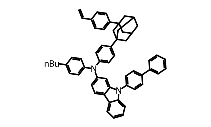 C=Cc1ccc(C23CC4CC(C2)CC(c2ccc(N(c5ccc(CCCC)cc5)c5ccc6c7ccccc7n(-c7ccc(-c8ccccc8)cc7)c6c5)cc2)(C4)C3)cc1